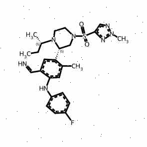 CC[C@H](C)N1CCN(S(=O)(=O)c2cnn(C)n2)C[C@@H]1c1cc(C=N)c(Nc2ccc(F)cc2)cc1C